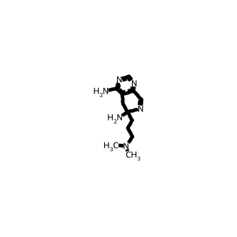 CN(C)CCCC1(N)Cc2c(N)ncnc2C=N1